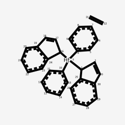 C1=C[CH]([Hf]([c]2ccccc2)([c]2ccccc2)[CH]2C=Cc3ccccc32)c2ccccc21.C=C